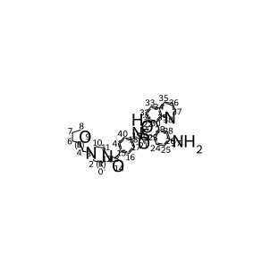 C[C@@H]1CN(C[C@H]2CCCO2)CCN1C(=O)c1ccc(NS(=O)(=O)c2ccc(N)cc2-c2cccc3cccnc23)cc1